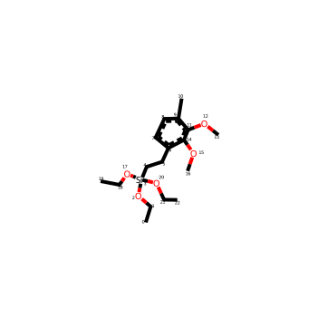 CCO[Si](CCc1ccc(C)c(OC)c1OC)(OCC)OCC